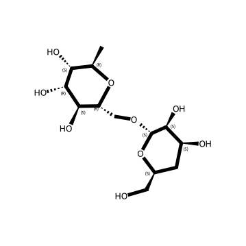 C[C@H]1O[C@H](CO[C@H]2O[C@H](CO)C[C@H](O)[C@@H]2O)[C@@H](O)[C@H](O)[C@@H]1O